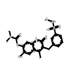 Cc1c(Cc2cccc(S(=O)(=O)NC(C)C)c2)c(=O)oc2cc(OC(=O)N(C)C)c(Cl)cc12